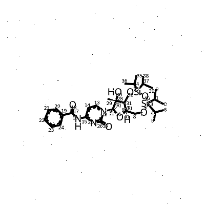 CC(C)[Si]1(C(C)C)OC[C@H]2O[C@@H](n3ccc(NC(=O)c4ccccc4)nc3=O)[C@](C)(O)C2O[Si](C(C)C)(C(C)C)O1